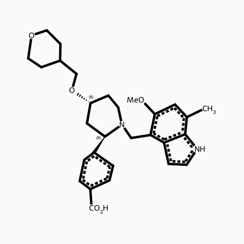 COc1cc(C)c2[nH]ccc2c1CN1CC[C@@H](OCC2CCOCC2)C[C@@H]1c1ccc(C(=O)O)cc1